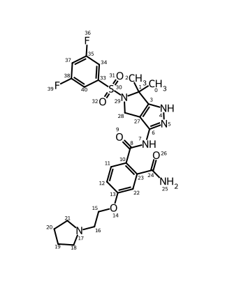 CC1(C)c2[nH]nc(NC(=O)c3ccc(OCCN4CCCC4)cc3C(N)=O)c2CN1S(=O)(=O)c1cc(F)cc(F)c1